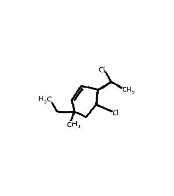 CCC1(C)C=CC(C(C)Cl)C(Cl)C1